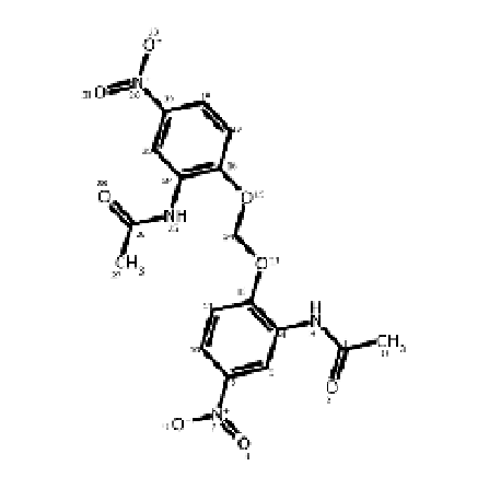 CC(=O)Nc1cc([N+](=O)[O-])ccc1OCOc1ccc([N+](=O)[O-])cc1NC(C)=O